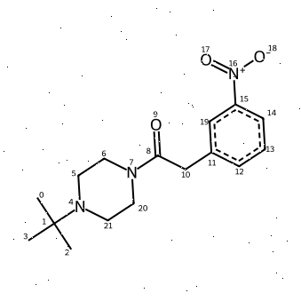 CC(C)(C)N1CCN(C(=O)Cc2cccc([N+](=O)[O-])c2)CC1